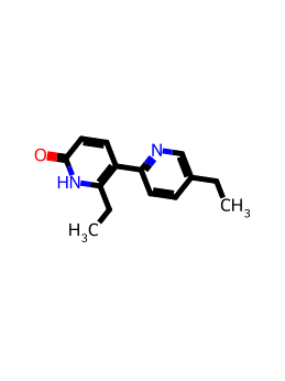 CCc1ccc(-c2ccc(=O)[nH]c2CC)nc1